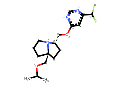 CC(C)OC[C@@]12CCCN1[C@H](COc1cc(C(F)F)ncn1)CC2